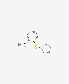 Cc1ccccc1SC1CCCC1